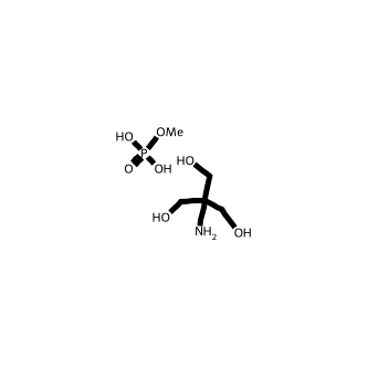 COP(=O)(O)O.NC(CO)(CO)CO